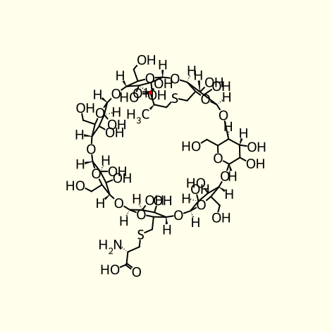 C[C@H](CSCC1O[C@@H]2O[C@@H]3C(CO)O[C@@H](O[C@@H]4C(CO)O[C@@H](O[C@@H]5C(CSC[C@@H](N)C(=O)O)O[C@@H](O[C@@H]6C(CO)O[C@H](O[C@@H]7C(CO)O[C@H](O[C@@H]8C(CO)O[C@H](O[C@H]1[C@H](O)C2O)C(O)[C@H]8O)[C@@H](O)C7O)[C@@H](O)C6O)[C@@H](O)C5O)[C@@H](O)C4O)C(O)[C@H]3O)C(=O)O